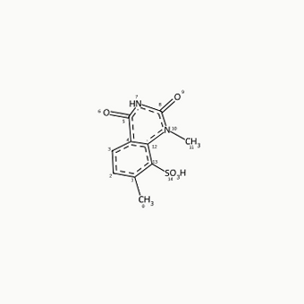 Cc1ccc2c(=O)[nH]c(=O)n(C)c2c1S(=O)(=O)O